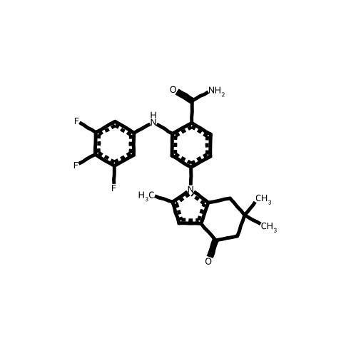 Cc1cc2c(n1-c1ccc(C(N)=O)c(Nc3cc(F)c(F)c(F)c3)c1)CC(C)(C)CC2=O